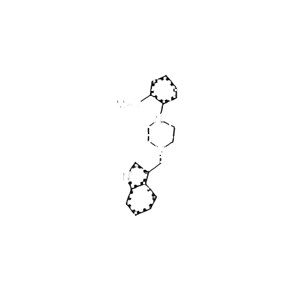 CSc1ccccc1N1CCN(Cc2c[nH]c3ccccc23)CC1